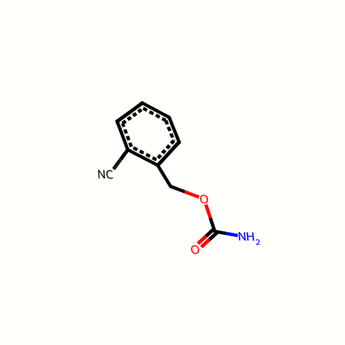 N#Cc1ccccc1COC(N)=O